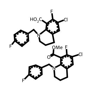 COC(=O)c1c(F)c(Cl)cc2c1N(Cc1ccc(F)cc1)CCC2.O=C(O)c1c(F)c(Cl)cc2c1N(Cc1ccc(F)cc1)CCC2